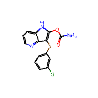 NC(=O)Oc1[nH]c2cccnc2c1Sc1cccc(Cl)c1